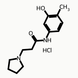 Cc1ccc(NC(=O)CCN2CCCC2)cc1O.Cl